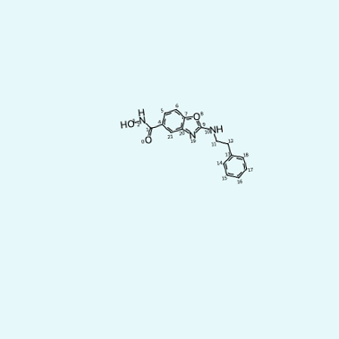 O=C(NO)c1ccc2oc(NCCc3ccccc3)nc2c1